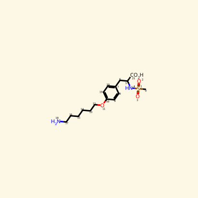 CS(=O)(=O)NC(Cc1ccc(OCCCCCCN)cc1)C(=O)O